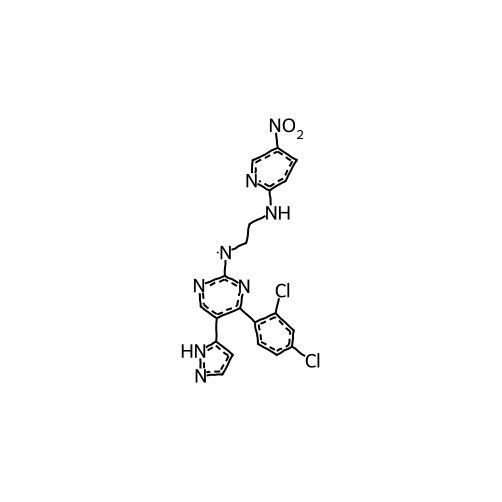 O=[N+]([O-])c1ccc(NCC[N]c2ncc(-c3ccn[nH]3)c(-c3ccc(Cl)cc3Cl)n2)nc1